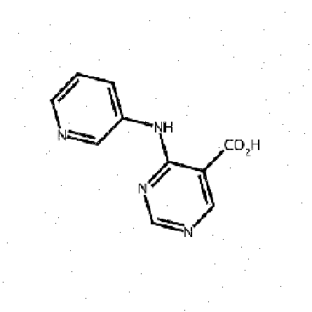 O=C(O)c1cncnc1Nc1cccnc1